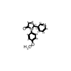 COc1ccc(N2C(=O)CSC2c2cccnc2)cc1